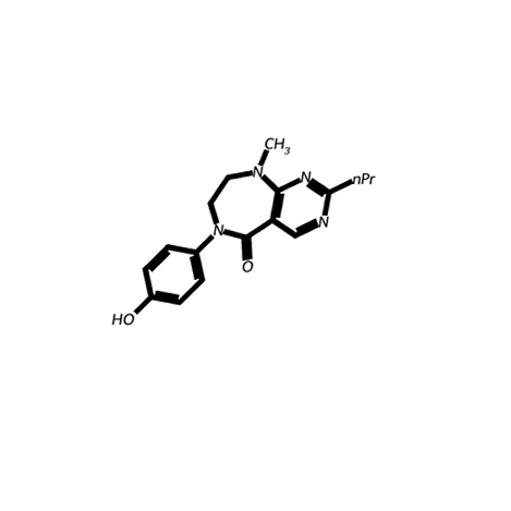 CCCc1ncc2c(n1)N(C)CCN(c1ccc(O)cc1)C2=O